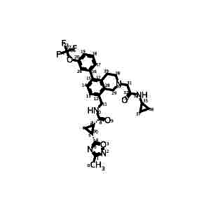 Cc1noc([C@@H]2C[C@@H]2C(=O)NCc2ccc(-c3cccc(OC(F)(F)F)c3)c3c2CN(CC(=O)NC2CC2)CC3)n1